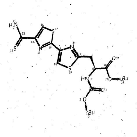 CC(C)(C)OC(=O)N[C@@H](Cc1nc(-c2nc(C(N)=S)cs2)cs1)C(=O)OC(C)(C)C